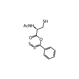 CC(=O)N[C@@H](CS)C(=O)OC(=S=S)c1ccccc1